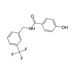 O=C(NCc1cccc(C(F)(F)F)c1)c1ccc(O)cc1